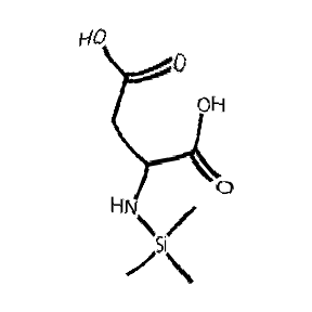 C[Si](C)(C)NC(CC(=O)O)C(=O)O